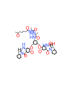 COc1cc2c(cc1OCc1cc(COc3cc4c(cc3OC)C(=O)N3c5ccccc5C[C@H]3C(O)N4)cc(NC(=O)[C@H](C)NC(=O)[C@H](C)NC(=O)CCCCC(C)=O)c1)NC[C@@H]1Cc3ccccc3N1C2=O